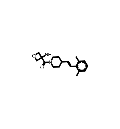 Cc1cccc(C)c1/C=C/C1CCN(C(=O)C2(N)COC2)CC1